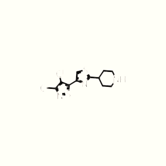 Clc1nsc(-c2csc(C3CCNCC3)n2)c1Cl